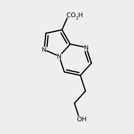 O=C(O)c1cnn2cc(CCO)cnc12